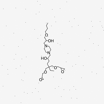 CCCCOCC(O)CN1CCN(CC(O)CCC(CC)(COCC2CO2)COCC2CO2)CC1